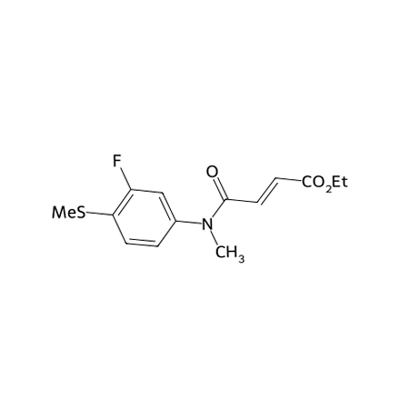 CCOC(=O)/C=C/C(=O)N(C)c1ccc(SC)c(F)c1